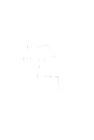 CC.CC.CCC.CCC